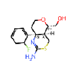 NC1=N[C@@]2(C3=CC=CCC3F)CCO[C@H](CO)[C@H]2CS1